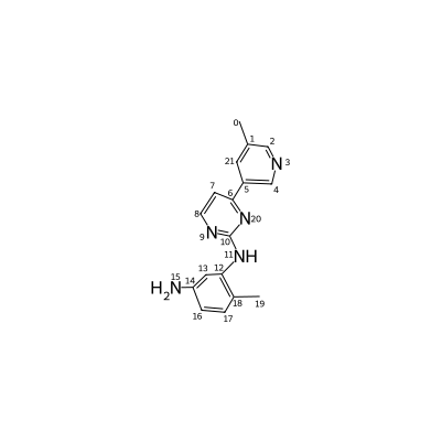 Cc1cncc(-c2ccnc(Nc3cc(N)ccc3C)n2)c1